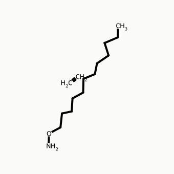 C=C.CCCCCCCCCCCCON